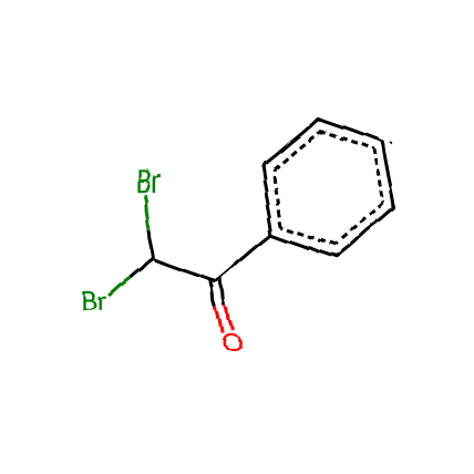 O=C(c1cc[c]cc1)C(Br)Br